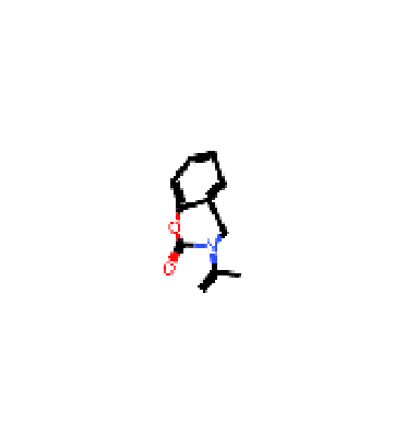 C=C(C)N1Cc2ccccc2OC1=O